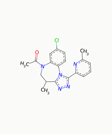 CC(=O)N1CC(C)c2nnc(-c3cccc(C)n3)n2-c2ccc(Cl)cc21